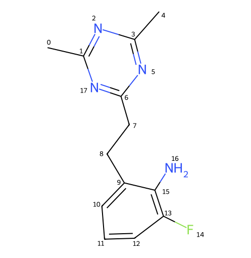 Cc1nc(C)nc(CCc2cccc(F)c2N)n1